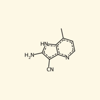 Cc1ccnc2c(C#N)c(N)[nH]c12